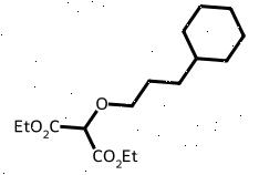 CCOC(=O)C(OCCCC1CCCCC1)C(=O)OCC